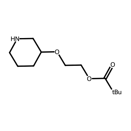 CC(C)(C)C(=O)OCCOC1CCCNC1